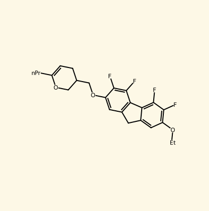 CCCC1=CCC(COc2cc3c(c(F)c2F)-c2c(cc(OCC)c(F)c2F)C3)CO1